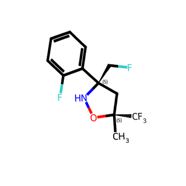 C[C@@]1(C(F)(F)F)C[C@@](CF)(c2ccccc2F)NO1